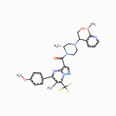 COc1ccc(-c2nc3c(C(=O)N4CCN(C(CO)c5cccnc5OC)C[C@H]4C)cnn3c(C(F)(F)F)c2C)cc1